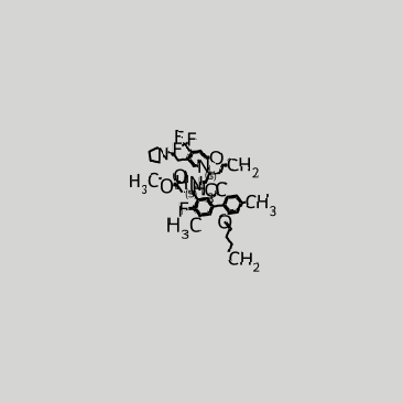 C=CCCCOc1cc(C)cc(C)c1-c1cc(C)c(F)c([C@H](CC(=O)OCC)NC(=O)[C@H](CC=C)n2cc(CCN3CCCC3)c(C(F)(F)F)cc2=O)c1